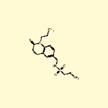 CCCN1C(=O)CCc2cc(CNS(=O)(=O)CCC)ccc21